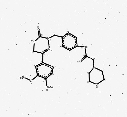 CCCOc1cc(C2=NN(Cc3ccc(NC(=O)CN4CCOCC4)cc3)C(=O)SC2)ccc1OC